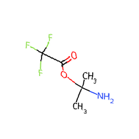 CC(C)(N)OC(=O)C(F)(F)F